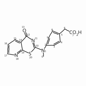 CN(c1ccc(CC(=O)O)cc1)c1nc(=O)c2cccnc2s1